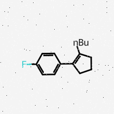 CCCCC1=C(c2ccc(F)cc2)CCC1